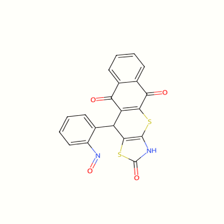 O=Nc1ccccc1C1C2=C(Sc3[nH]c(=O)sc31)C(=O)c1ccccc1C2=O